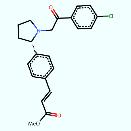 COC(=O)C=Cc1ccc([C@@H]2CCCN2CC(=O)c2ccc(Cl)cc2)cc1